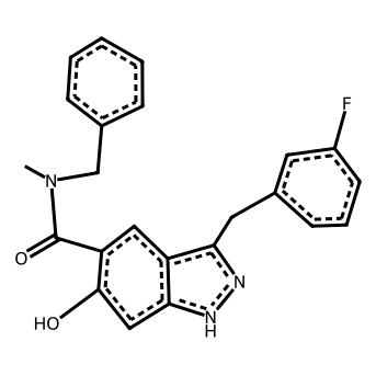 CN(Cc1ccccc1)C(=O)c1cc2c(Cc3cccc(F)c3)n[nH]c2cc1O